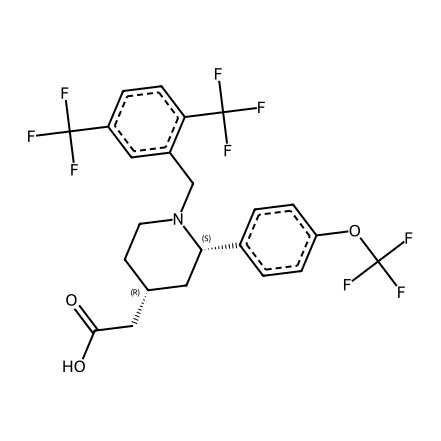 O=C(O)C[C@@H]1CCN(Cc2cc(C(F)(F)F)ccc2C(F)(F)F)[C@H](c2ccc(OC(F)(F)F)cc2)C1